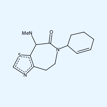 CNC1C(=O)N(C2C=CCCC2)CCc2ncsc21